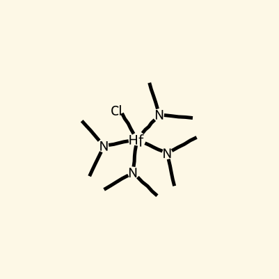 C[N](C)[Hf]([Cl])([N](C)C)([N](C)C)[N](C)C